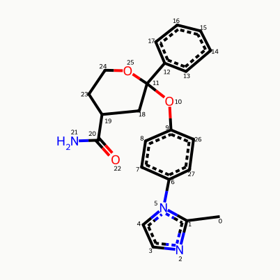 Cc1nccn1-c1ccc(OC2(c3ccccc3)CC(C(N)=O)CCO2)cc1